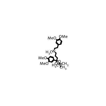 COc1ccc(CCN(C)CCCC(C#N)(O[Si](C)(C)C)c2ccc(OC)c(OC)c2)cc1OC